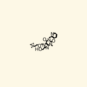 Cn1c(=O)n(Cc2ccccn2)c(=O)c2c1nc(CO)n2COCC[Si](C)(C)C